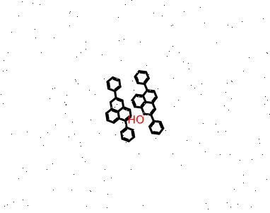 C1=C(c2ccccc2)Cc2cccc3c(-c4ccccc4)ccc1c23.OC1C(c2ccccc2)=Cc2ccc(-c3ccccc3)c3cccc1c23